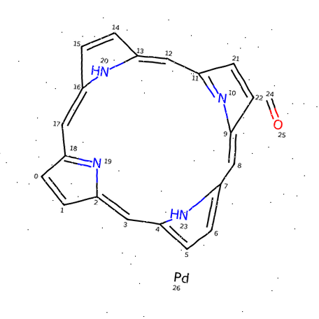 C1=Cc2cc3ccc(cc4nc(cc5ccc(cc1n2)[nH]5)C=C4)[nH]3.C=O.[Pd]